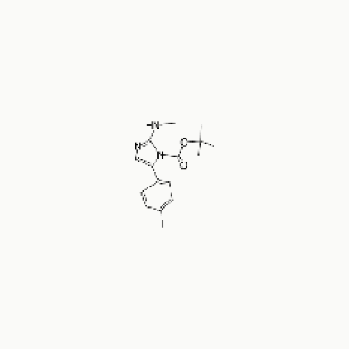 CNc1ncc(-c2ccc(I)cc2)n1C(=O)OC(C)(C)C